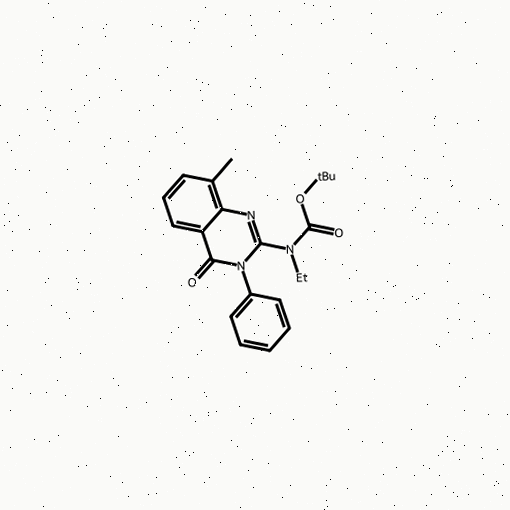 CCN(C(=O)OC(C)(C)C)c1nc2c(C)cccc2c(=O)n1-c1ccccc1